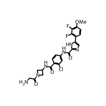 COc1ccc(-c2cnc(C(=O)Nc3ccc(C(=O)NC4CN(C(=O)CN)C4)c(Cl)c3)[nH]2)c(F)c1F